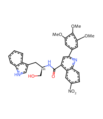 COc1cc(-c2cc(C(=O)N[C@@H](CO)Cc3c[nH]c4ccccc34)c3cc([N+](=O)[O-])ccc3n2)cc(OC)c1OC